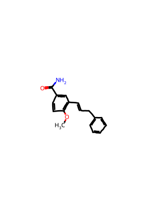 COc1ccc(C(N)=O)cc1C=CCc1ccccc1